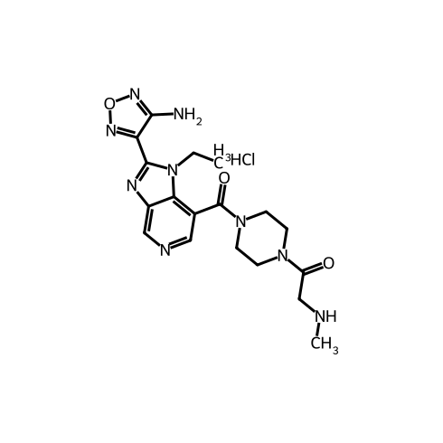 CCn1c(-c2nonc2N)nc2cncc(C(=O)N3CCN(C(=O)CNC)CC3)c21.Cl